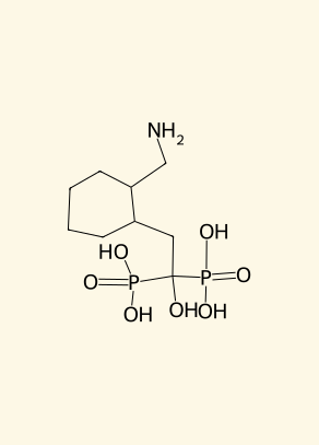 NCC1CCCCC1CC(O)(P(=O)(O)O)P(=O)(O)O